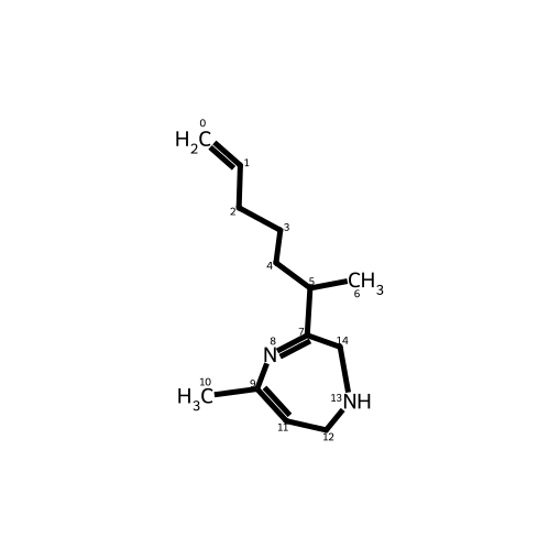 C=CCCCC(C)C1=NC(C)=CCNC1